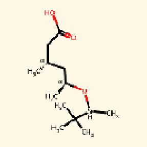 C[C@H](CC(=O)O)C[C@H](C)O[SiH](C)C(C)(C)C